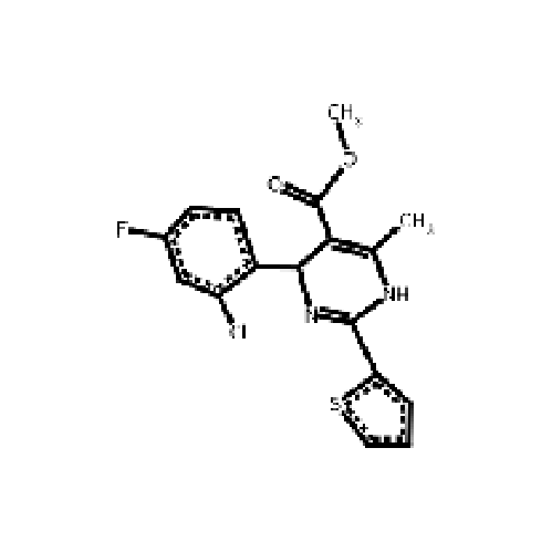 COC(=O)C1=C(C)NC(c2cccs2)=NC1c1ccc(F)cc1Cl